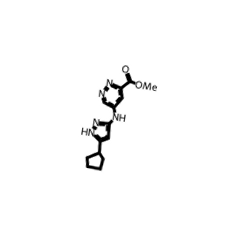 COC(=O)c1cc(Nc2cc(C3CCCC3)[nH]n2)cnn1